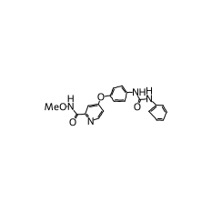 CONC(=O)c1cc(Oc2ccc(NC(=O)Nc3ccccc3)cc2)ccn1